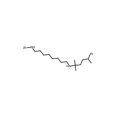 CC(C)NCCCCCCCCNC(C)(C)CCC(C)C(C)C